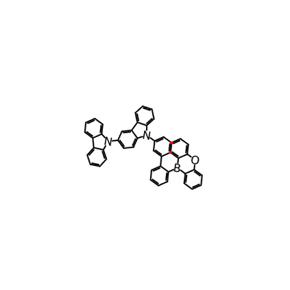 c1cc(-c2ccccc2B2c3ccccc3Oc3ccccc32)cc(-n2c3ccccc3c3cc(-n4c5ccccc5c5ccccc54)ccc32)c1